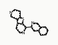 c1ccc2cc(-c3nccc4c3sc3ccncc34)ncc2c1